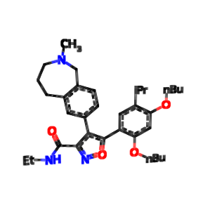 CCCCOc1cc(OCCCC)c(C(C)C)cc1-c1onc(C(=O)NCC)c1-c1ccc2c(c1)CCCN(C)C2